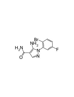 NC(=O)c1cnn(-c2cc(F)ccc2Br)c1N